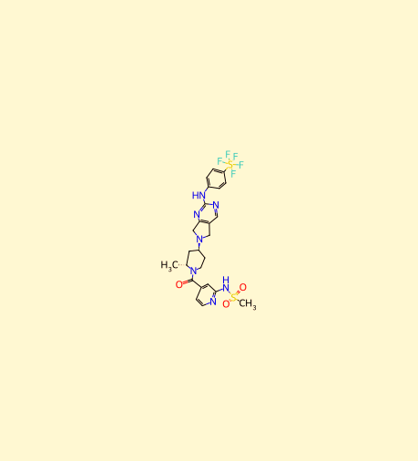 C[C@@H]1C[C@@H](N2Cc3cnc(Nc4ccc(S(F)(F)(F)(F)F)cc4)nc3C2)CCN1C(=O)c1ccnc(NS(C)(=O)=O)c1